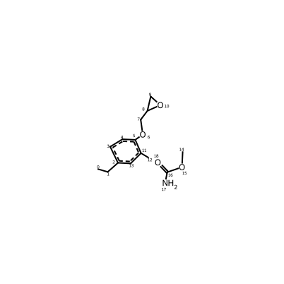 CCc1ccc(OCC2CO2)c(C)c1.COC(N)=O